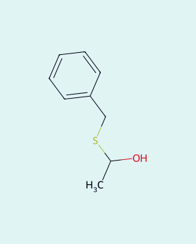 CC(O)SCc1ccccc1